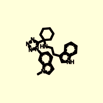 Cn1ccc2ccc(-n3nnnc3C3(NCCc4c[nH]c5ccccc45)CCCCC3)cc21